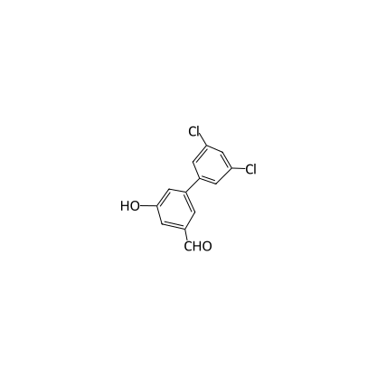 O=Cc1cc(O)cc(-c2cc(Cl)cc(Cl)c2)c1